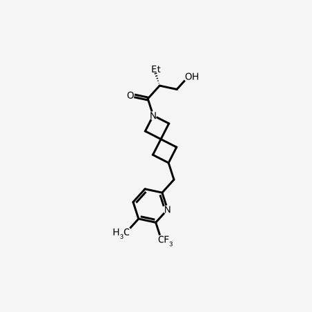 CC[C@H](CO)C(=O)N1CC2(CC(Cc3ccc(C)c(C(F)(F)F)n3)C2)C1